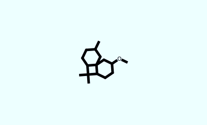 COC1CCC2C(C)(C)C3CCC(C)CC32C1